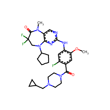 COc1cc(C(=O)N2CCN(CC3CC3)CC2)c(F)cc1Nc1ncc2c(n1)N(C1CCCC1)CC(F)(F)C(=O)N2C